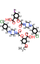 COc1ccc(OCC(=O)N2CCN(Cc3ccc(Cl)cc3)CC2)c(C(=O)O)c1.O=C(O)c1cc(I)ccc1OCC(=O)N1CCN(Cc2ccc(Cl)cc2)CC1